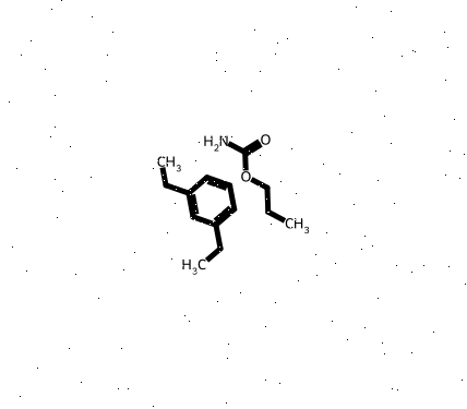 CCCOC(N)=O.CCc1cccc(CC)c1